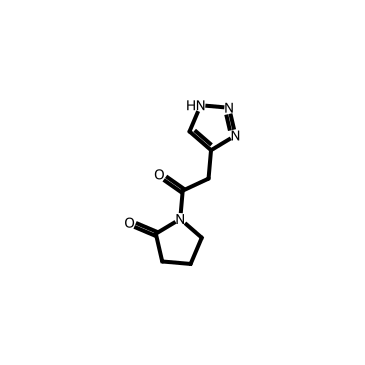 O=C1CCCN1C(=O)Cc1c[nH]nn1